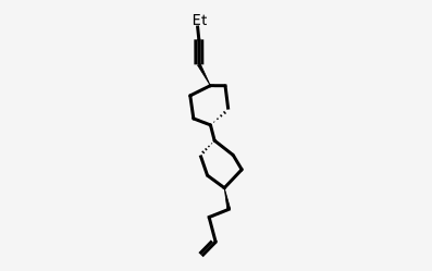 C=CCC[C@H]1CC[C@H]([C@H]2CC[C@H](C#CCC)CC2)CC1